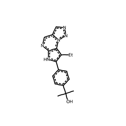 CCc1c(-c2ccc(C(C)(C)O)cc2)[nH]c2ncc3cnnn3c12